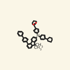 CC1(C)c2cc(N(c3ccc(C4CCCCC4)cc3)c3ccc(C4CC5CCC4CC5)cc3)ccc2-c2c(-c3ccc(-c4ccccc4)cc3)cccc21